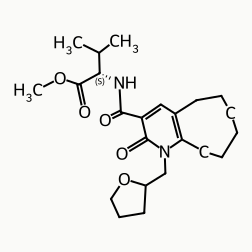 COC(=O)[C@@H](NC(=O)c1cc2c(n(CC3CCCO3)c1=O)CCCCCC2)C(C)C